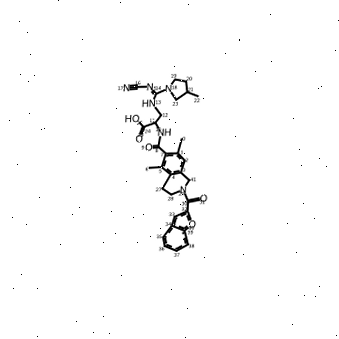 Cc1cc2c(c(C)c1C(=O)NC(CN/C(=N\C#N)N1CCC(C)C1)C(=O)O)CCN(C(=O)c1cc3ccccc3o1)C2